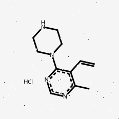 C=Cc1c(C)ncnc1N1CCNCC1.Cl